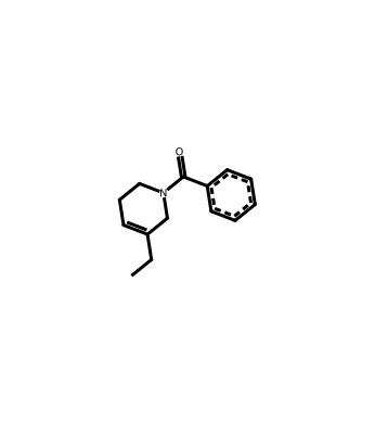 CCC1=CCCN(C(=O)c2ccccc2)C1